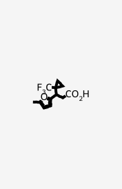 Cc1ccc(C(CC(=O)O)C2(C(F)(F)F)CC2)o1